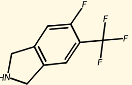 Fc1cc2c(cc1C(F)(F)F)CNC2